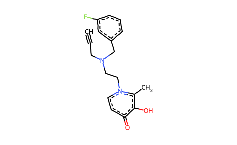 C#CCN(CCn1ccc(=O)c(O)c1C)Cc1cccc(F)c1